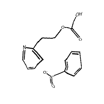 O=C(O)OCCc1ccccn1.O=[N+]([O-])c1ccccc1